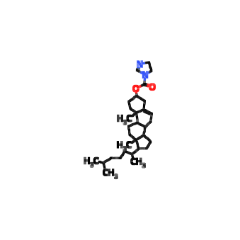 CC(C)CCCC(C)C1CCC2C3CC=C4CC(OC(=O)N5C=NCC5)CCC4(C)C3CCC12C